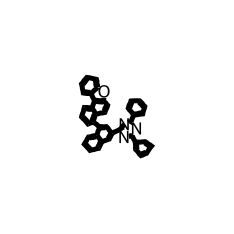 c1ccc(-c2nc(-c3ccccc3)nc(-c3cc(-c4cccc5c4ccc4oc6ccccc6c45)c4ccccc4c3)n2)cc1